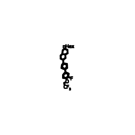 CCCCCCC1CCC2CC(c3ccc(-c4ccc(OCC(F)(F)F)c(F)c4)cc3)CCC2C1